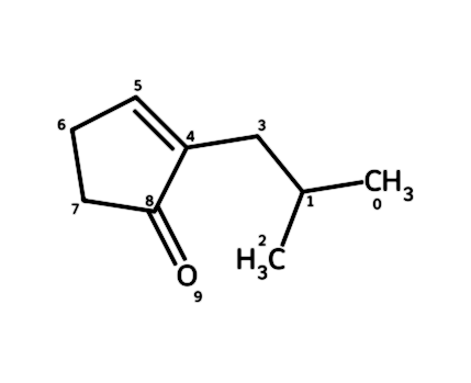 CC(C)CC1=CCCC1=O